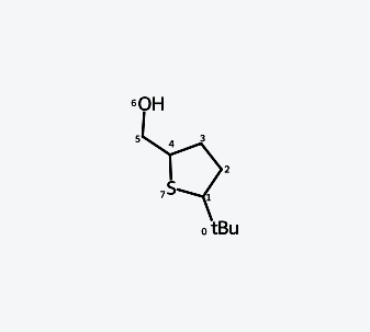 CC(C)(C)C1CCC(CO)S1